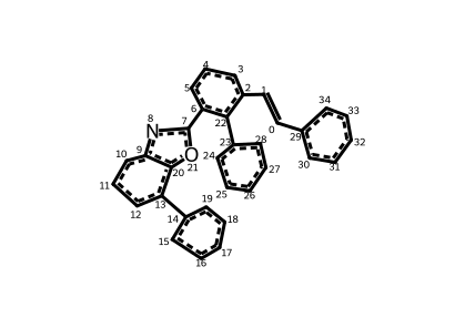 C(=Cc1cccc(-c2nc3cccc(-c4ccccc4)c3o2)c1-c1ccccc1)c1ccccc1